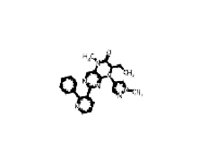 CCC1C(=O)N(C)c2cnc(-c3cccnc3-c3ccccc3)nc2N1c1cnn(C)c1